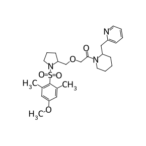 COc1cc(C)c(S(=O)(=O)N2CCCC2COCC(=O)N2CCCCC2Cc2ccccn2)c(C)c1